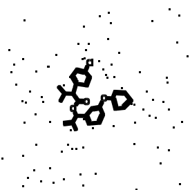 C=C(C)C(OC(=O)C(c1ccc(Cl)cc1)C(C)C)c1cccc(Oc2ccccc2)c1